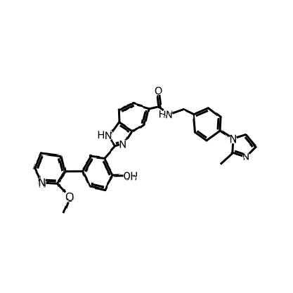 COc1ncccc1-c1ccc(O)c(-c2nc3cc(C(=O)NCc4ccc(-n5ccnc5C)cc4)ccc3[nH]2)c1